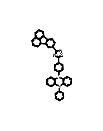 c1ccc(N2c3ccccc3N(c3ccc(-c4nc(-c5ccc6c(c5)-c5cccc7cccc-6c57)ns4)cc3)c3ccccc32)cc1